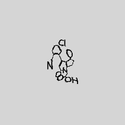 N#Cc1ccc(Cl)cc1-c1cc(=O)n(CC(=O)O)c2c1C(=O)CC2